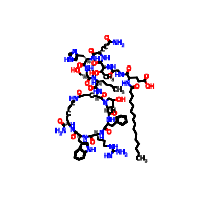 CCCCCCCCCCCCCCCC(=O)NC(CCC(=O)O)C(=O)NCC(=O)N[C@H](C(=O)N[C@@H](CCC(N)=O)C(=O)N[C@@H](Cc1c[nH]cn1)C(=O)N[C@@H](CO)C(=O)N[C@@H](CCCC)C(=O)N[C@H]1CCC(=O)NCCCC[C@@H](C(N)=O)NC(=O)[C@H](Cc2c[nH]c3ccccc23)NC(=O)[C@H](CCCNC(=N)N)NC(=O)C(Cc2ccccc2)NC(=O)[C@@H]2CC(O)CN2C1=O)C(C)O